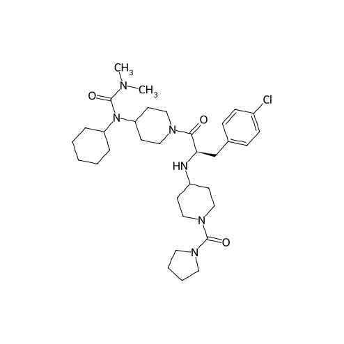 CN(C)C(=O)N(C1CCCCC1)C1CCN(C(=O)[C@@H](Cc2ccc(Cl)cc2)NC2CCN(C(=O)N3CCCC3)CC2)CC1